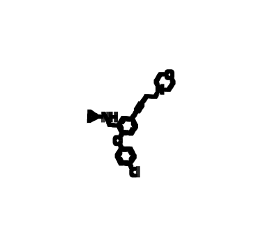 Clc1ccc(Oc2ccc(C#CCCN3CCOCC3)cc2CNC2CC2)cc1